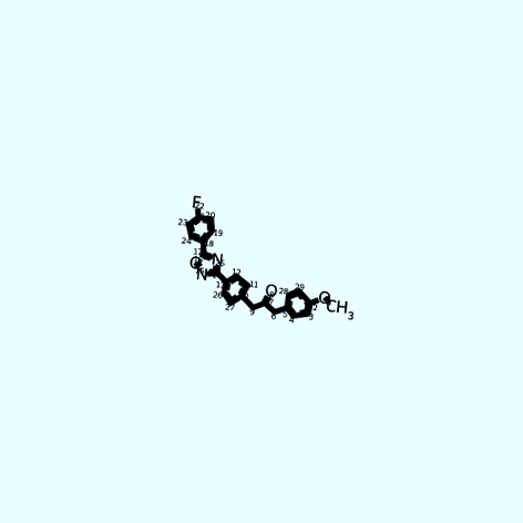 COc1ccc(CC(=O)Cc2ccc(-c3noc(-c4ccc(F)cc4)n3)cc2)cc1